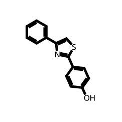 Oc1ccc(-c2nc(-c3ccccc3)cs2)cc1